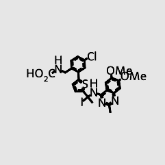 COc1cc2nc(C)nc(NC(C)(I)c3ccc(-c4cc(Cl)ccc4CNC(=O)O)s3)c2cc1OC